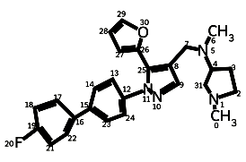 CN1CCC(N(C)Cc2cnn(-c3ccc(-c4ccc(F)cc4)cc3)c2-c2ccco2)C1